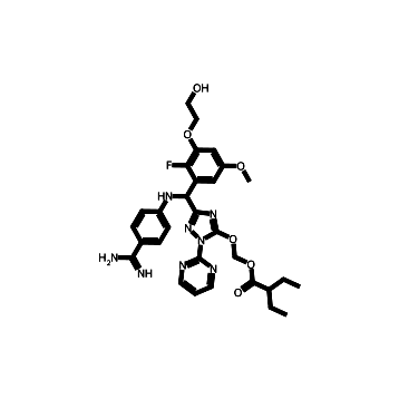 CCC(CC)C(=O)OCOc1nc(C(Nc2ccc(C(=N)N)cc2)c2cc(OC)cc(OCCO)c2F)nn1-c1ncccn1